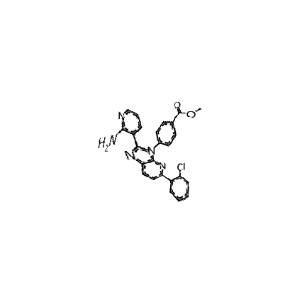 COC(=O)c1ccc(-n2c(-c3cccnc3N)nc3ccc(-c4ccccc4Cl)nc32)cc1